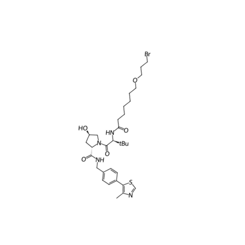 Cc1ncsc1-c1ccc(CNC(=O)[C@@H]2C[C@@H](O)CN2C(=O)[C@@H](NC(=O)CCCCCCOCCCBr)C(C)(C)C)cc1